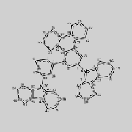 c1cc(-c2cc(-n3c4ccccc4c4ccccc43)cc3c4ccccc4c4ccccc4c23)cc(-n2c3ccccc3c3ccccc32)c1